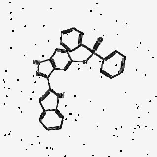 O=P(Oc1ccc2[nH]nc(-c3cc4ccccc4[nH]3)c2c1)(c1ccccc1)c1ccccc1